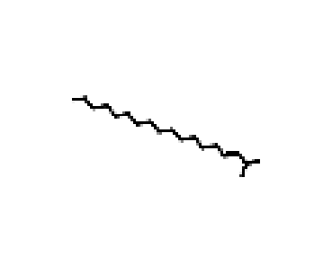 CCCCCCCCCCCCCCC=CC(C)C